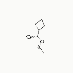 CSOC(=O)C1CCC1